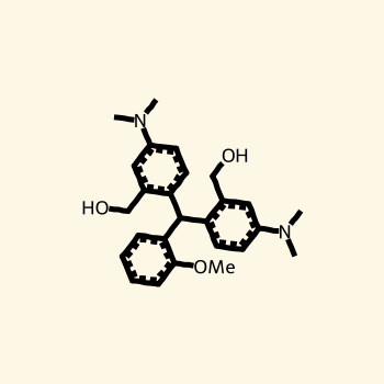 COc1ccccc1C(c1ccc(N(C)C)cc1CO)c1ccc(N(C)C)cc1CO